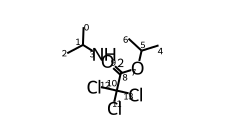 CC(C)N.CC(C)OC(=O)C(Cl)(Cl)Cl